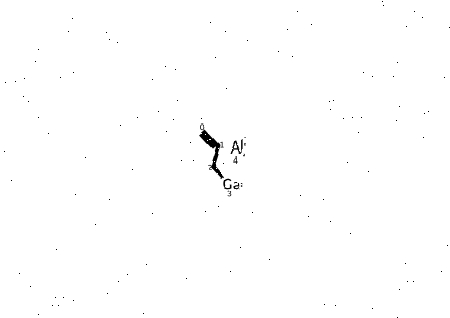 C=C[CH2][Ga].[Al]